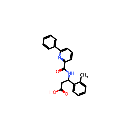 Cc1ccccc1C(CC(=O)O)NC(=O)c1cccc(-c2ccccc2)n1